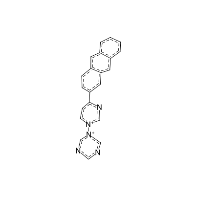 c1ccc2cc3cc(-c4cc[n+](-[n+]5cncnc5)cn4)ccc3cc2c1